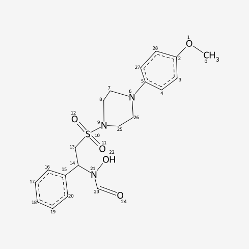 COc1ccc(N2CCN(S(=O)(=O)CC(c3ccccc3)N(O)C=O)CC2)cc1